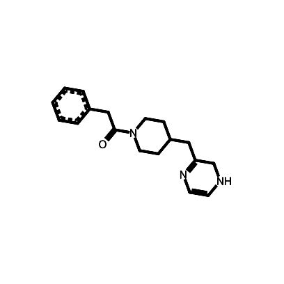 O=C(Cc1ccccc1)N1CCC(CC2=NC=CNC2)CC1